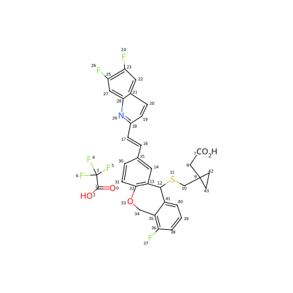 O=C(O)C(F)(F)F.O=C(O)CC1(CSC2c3cc(/C=C/c4ccc5cc(F)c(F)cc5n4)ccc3OCc3c(F)cccc32)CC1